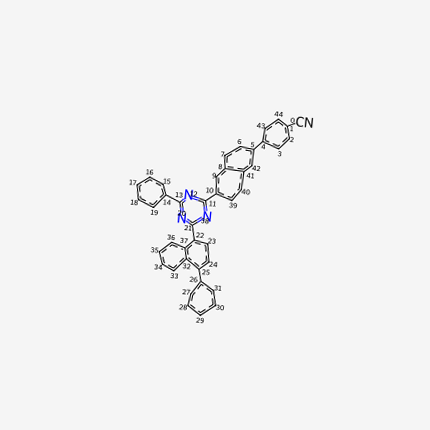 N#Cc1ccc(-c2ccc3cc(-c4nc(-c5ccccc5)nc(-c5ccc(-c6ccccc6)c6ccccc56)n4)ccc3c2)cc1